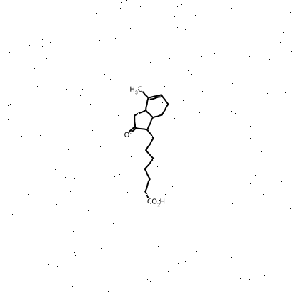 CC1=CCCC2C(CCCCCCC(=O)O)C(=O)CC12